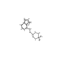 FC1(F)CCC(COc2cccc3nc[nH]c23)CC1